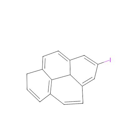 IC1=CC2=CC=C3CC=CC4=C3C2C(=C1)C=C4